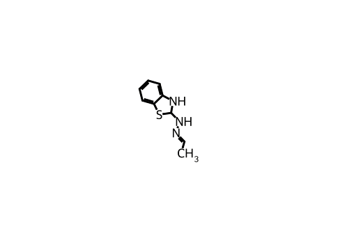 C/C=N/NC1Nc2ccccc2S1